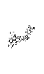 CCOC1=CC(F)(CN2CC3(CC([C@H]4CC[C@H](C(=O)O)CC4)=NO3)C2)C=C(OCC)C1c1ccccc1